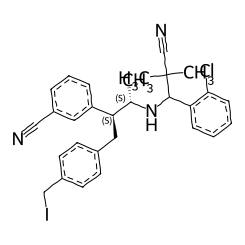 C[C@H](NC(c1ccccc1Cl)C(C)(C)C#N)[C@@H](Cc1ccc(CI)cc1)c1cccc(C#N)c1